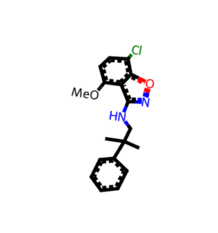 COc1ccc(Cl)c2onc(NCC(C)(C)c3ccccc3)c12